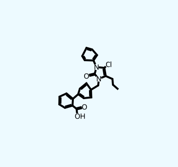 CCCc1c(Cl)n(-c2ccccc2)c(=O)n1Cc1ccc(-c2ccccc2C(=O)O)cc1